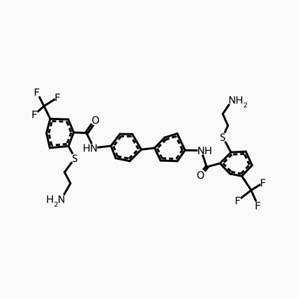 NCCSc1ccc(C(F)(F)F)cc1C(=O)Nc1ccc(-c2ccc(NC(=O)c3cc(C(F)(F)F)ccc3SCCN)cc2)cc1